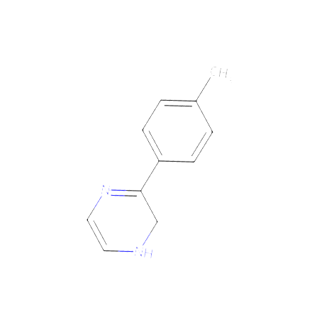 Cc1ccc(C2=NC=CNC2)cc1